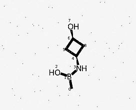 CB(O)N[C@H]1C[C@@H](O)C1